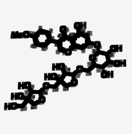 COc1ccc(-c2coc3cc(O[C@@H]4OC(COC5OCC(O)(COC6OCC(O)(CO)C6O)C5O)[C@@H](O)C(O)[C@@H]4O)cc(O)c3c2=O)cc1